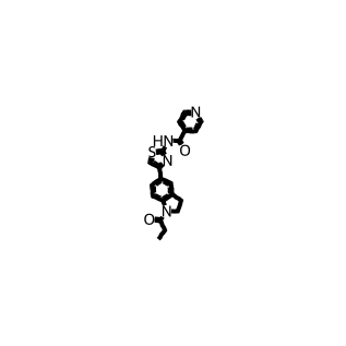 CCC(=O)N1CCc2cc(-c3csc(NC(=O)c4ccncc4)n3)ccc21